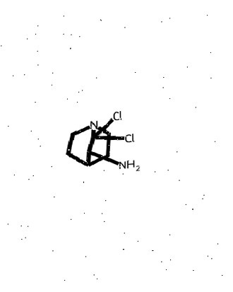 NC1C2CCN(CC2)C1(Cl)Cl